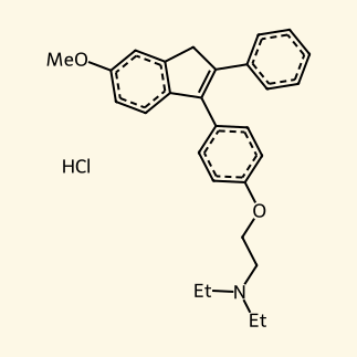 CCN(CC)CCOc1ccc(C2=C(c3ccccc3)Cc3cc(OC)ccc32)cc1.Cl